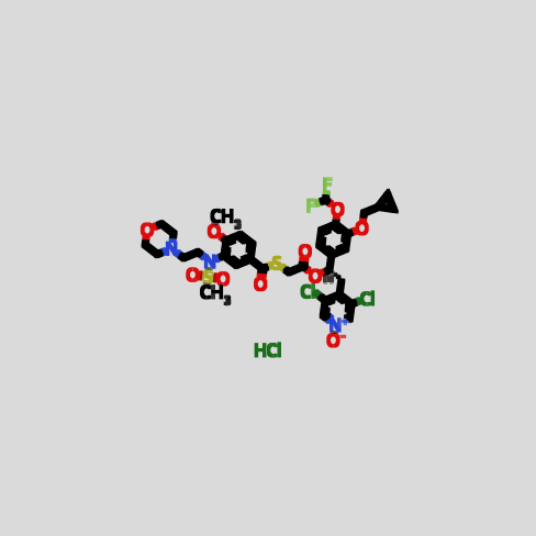 COc1ccc(C(=O)SCC(=O)O[C@@H](Cc2c(Cl)c[n+]([O-])cc2Cl)c2ccc(OC(F)F)c(OCC3CC3)c2)cc1N(CCN1CCOCC1)S(C)(=O)=O.Cl